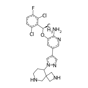 C[C@@H](Oc1cc(-c2cnn(C3CCNCC34CNC4)c2)cnc1N)c1c(Cl)ccc(F)c1Cl